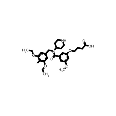 CCOc1cc(CN(C(=O)c2cc(OC)cc(OCCCC(=O)O)c2)C2CCNCC2)cc(OCC)c1F